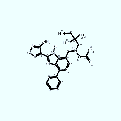 CCn1c(-c2nonc2N)nc2c(-c3ccccc3)ncc(CN(CC(C)(C)CN)OC(=O)C(F)(F)F)c21